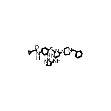 O=C(Nc1ccc(Sc2nc(Nc3ccn[nH]3)cc(N3CCN(Cc4ccccc4)CC3)n2)cc1)C1CC1